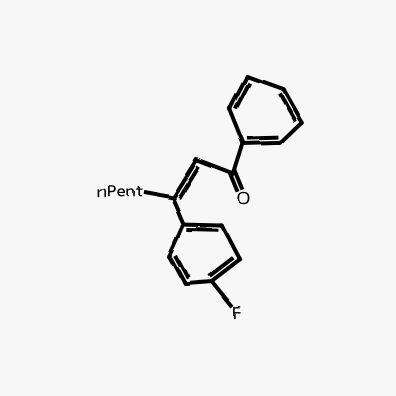 CCCCCC(=CC(=O)c1ccccc1)c1ccc(F)cc1